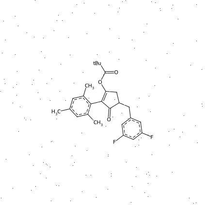 Cc1cc(C)c(C2=C(OC(=O)C(C)(C)C)CC(Cc3cc(F)cc(F)c3)C2=O)c(C)c1